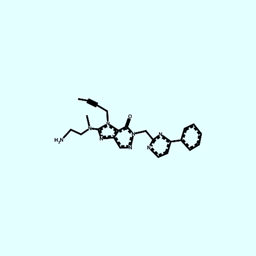 CC#CCn1c(N(C)CCN)nc2cnn(Cc3nccc(-c4ccccc4)n3)c(=O)c21